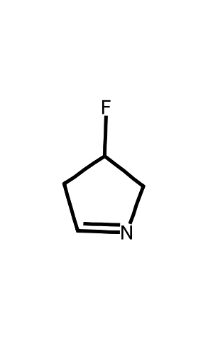 FC1CC=NC1